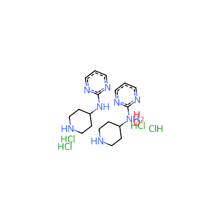 Cl.Cl.Cl.Cl.O.c1cnc(NC2CCNCC2)nc1.c1cnc(NC2CCNCC2)nc1